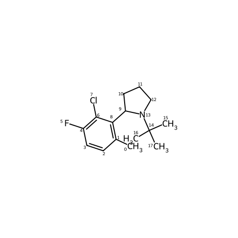 Cc1ccc(F)c(Cl)c1C1CCCN1C(C)(C)C